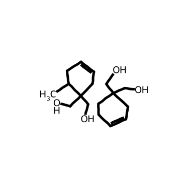 CC1CC=CCC1(CO)CO.OCC1(CO)CC=CCC1